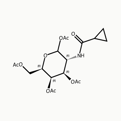 CC(=O)OC[C@H]1OC(OC(C)=O)[C@H](NC(=O)C2CC2)[C@@H](OC(C)=O)[C@H]1OC(C)=O